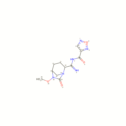 N=C(NC(=O)c1cnon1)C1CCC2CN1C(=O)N2OS(=O)(=O)O